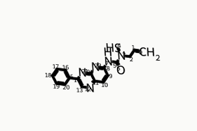 C=CCN(S)C(=O)Nc1ccc2ncc(-c3ccccc3)nc2n1